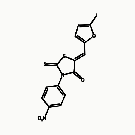 O=C1C(=Cc2ccc(I)o2)SC(=S)N1c1ccc([N+](=O)[O-])cc1